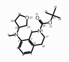 CN(c1cccc2c1CN(C(=O)OC(C)(C)C)CC2)C1CCOC1